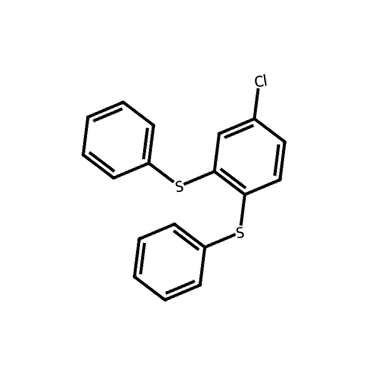 Clc1ccc(Sc2ccccc2)c(Sc2ccccc2)c1